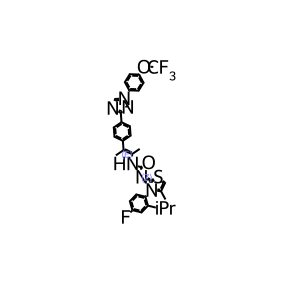 C/C(NC(=O)/N=c1\scc(C)n1-c1ccc(F)cc1C(C)C)=C(/C)c1ccc(-c2ncn(-c3ccc(OC(F)(F)F)cc3)n2)cc1